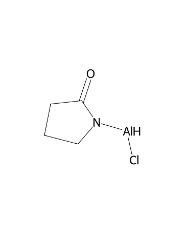 O=C1CCC[N]1[AlH][Cl]